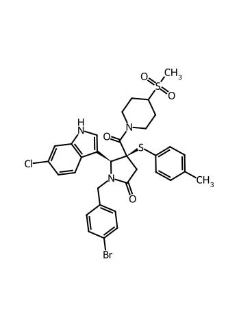 Cc1ccc(S[C@@]2(C(=O)N3CCC(S(C)(=O)=O)CC3)CC(=O)N(Cc3ccc(Br)cc3)[C@H]2c2c[nH]c3cc(Cl)ccc23)cc1